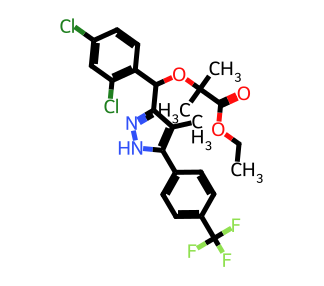 CCOC(=O)C(C)(C)OC(c1ccc(Cl)cc1Cl)c1n[nH]c(-c2ccc(C(F)(F)F)cc2)c1C